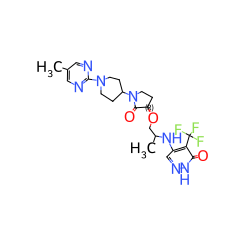 Cc1cnc(N2CCC(N3CC[C@@H](OCC(C)Nc4cn[nH]c(=O)c4C(F)(F)F)C3=O)CC2)nc1